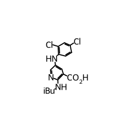 CCC(C)Nc1ncc(Nc2ccc(Cl)cc2Cl)cc1C(=O)O